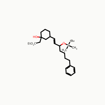 CCOC(=O)CC1(O)CCCC(/C=C/C(CCCCc2ccccc2)O[Si](C)(C)C(C)(C)C)C1